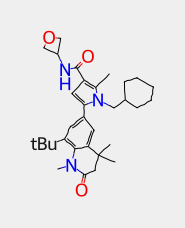 Cc1c(C(=O)NC2COC2)cc(-c2cc(C(C)(C)C)c3c(c2)C(C)(C)CC(=O)N3C)n1CC1CCCCC1